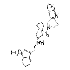 Cn1cc(CCNC2CC3CCCC3(C(=O)N3CCc4ncc(C(F)(F)F)cc4C3)C2)c2ccccc21